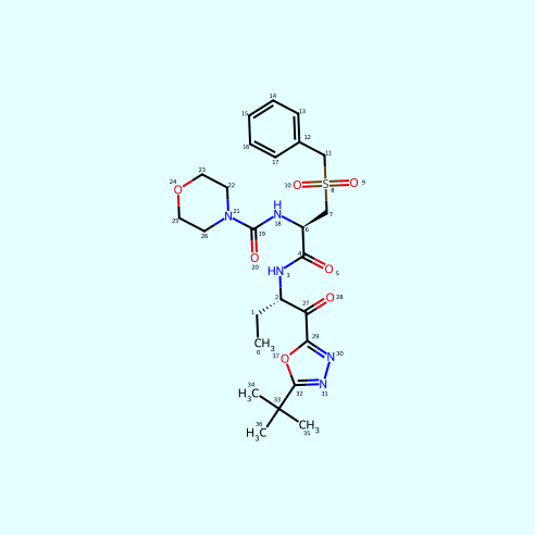 CC[C@H](NC(=O)[C@H](CS(=O)(=O)Cc1ccccc1)NC(=O)N1CCOCC1)C(=O)c1nnc(C(C)(C)C)o1